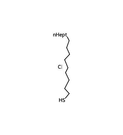 CCCCCCCCCCCCCCCCS.[C]